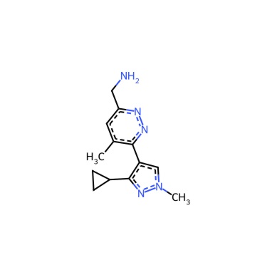 Cc1cc(CN)nnc1-c1cn(C)nc1C1CC1